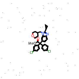 COC(=O)C(c1ccc(Cl)cc1)(c1ccc(Cl)cc1)c1ccc2nc(C3CC3)n(CC3CCOCC3)c2c1